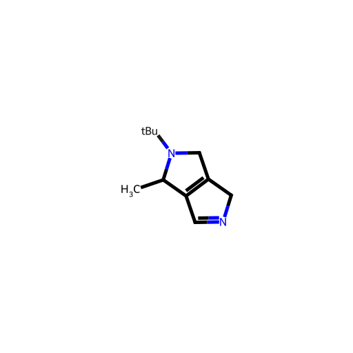 CC1C2=C(CN=C2)CN1C(C)(C)C